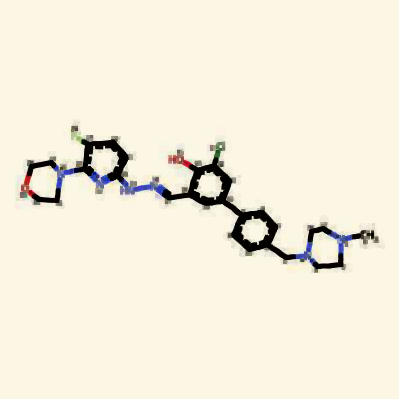 CN1CCN(Cc2ccc(-c3cc(Cl)c(O)c(/C=N/Nc4ccc(F)c(N5CCOCC5)n4)c3)cc2)CC1